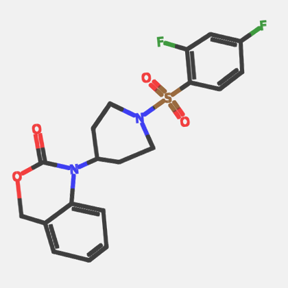 O=C1OCc2ccccc2N1C1CCN(S(=O)(=O)c2ccc(F)cc2F)CC1